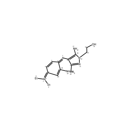 CC[N+](CC)=C1C=C/C(=N/c2c(C)nn(CCO)c2N)C(NC(C)=O)=C1